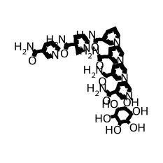 NC(=O)c1cccnc1.NC(=O)c1cccnc1.NC(=O)c1cccnc1.NC(=O)c1cccnc1.NC(=O)c1cccnc1.NC(=O)c1cccnc1.OC1C(O)C(O)C(O)C(O)C1O